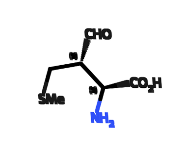 CSC[C@H](C=O)[C@H](N)C(=O)O